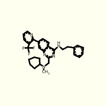 CN(Cc1nc(NCCc2ccccc2)c2ccc(-c3ncccc3C(F)(F)F)cc2n1)C1CCCCC1